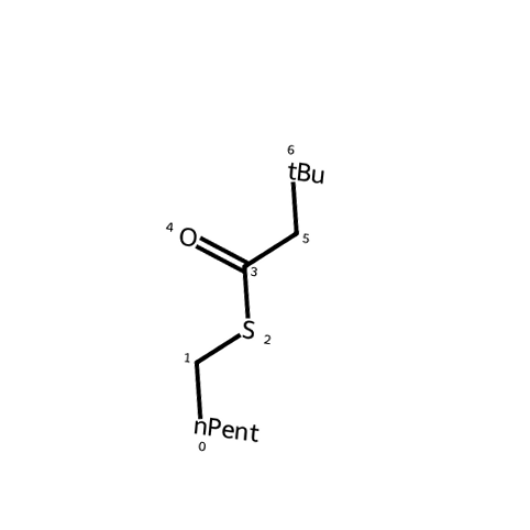 CCCCCCSC(=O)CC(C)(C)C